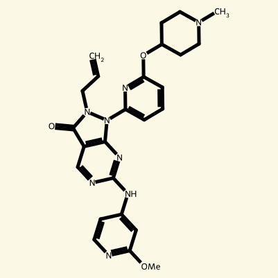 C=CCn1c(=O)c2cnc(Nc3ccnc(OC)c3)nc2n1-c1cccc(OC2CCN(C)CC2)n1